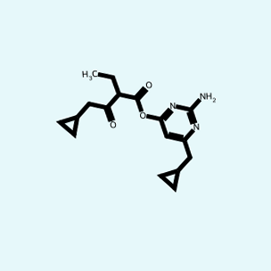 CCC(C(=O)CC1CC1)C(=O)Oc1cc(CC2CC2)nc(N)n1